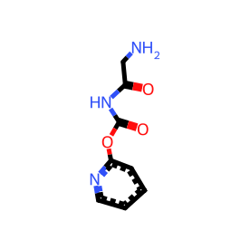 NCC(=O)NC(=O)Oc1ccccn1